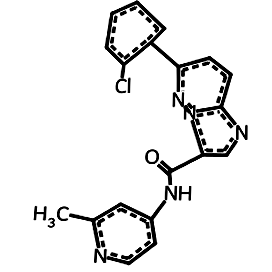 Cc1cc(NC(=O)c2cnc3ccc(-c4ccccc4Cl)nn23)ccn1